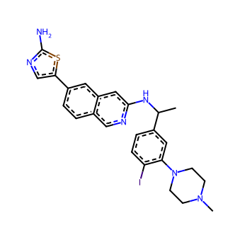 CC(Nc1cc2cc(-c3cnc(N)s3)ccc2cn1)c1ccc(I)c(N2CCN(C)CC2)c1